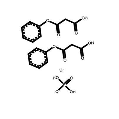 O=C(O)CC(=O)Oc1ccccc1.O=C(O)CC(=O)Oc1ccccc1.O=P([O-])(O)O.[Li+]